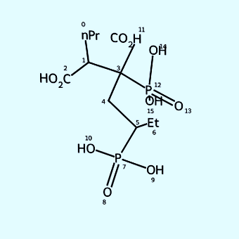 CCCC(C(=O)O)C(CC(CC)P(=O)(O)O)(C(=O)O)P(=O)(O)O